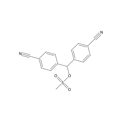 CS(=O)(=O)OC(c1ccc(C#N)cc1)c1ccc(C#N)cc1